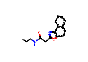 CCCNC(=O)Cc1nc2c(ccc3ccccc32)o1